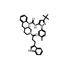 Cc1ccc(-n2nc(C(C)(C)C)cc2NC(=O)Nc2ccccc2CC2CCN(C(=O)CCc3c[nH]c4ccccc34)CC2)cc1